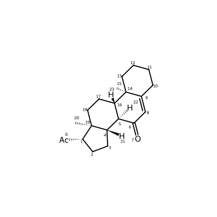 CC(=O)[C@H]1CC[C@H]2[C@@H]3C(=O)C=C4CCCC[C@]4(C)[C@H]3CC[C@]12C